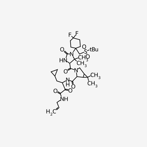 C=CCNC(=O)C(=O)C(CC1CC1)NC(=O)C1C2C(CN1C(=O)C1NC(=O)N(C3(CS(=O)(=O)C(C)(C)C)CCC(F)(F)CC3)C1(C)C)C2(C)C